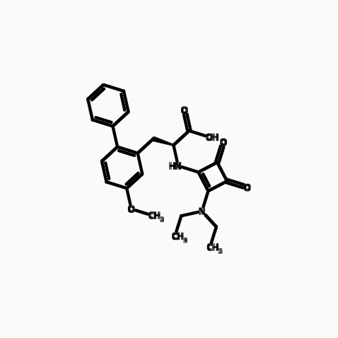 CCN(CC)c1c(N[C@@H](Cc2cc(OC)ccc2-c2ccccc2)C(=O)O)c(=O)c1=O